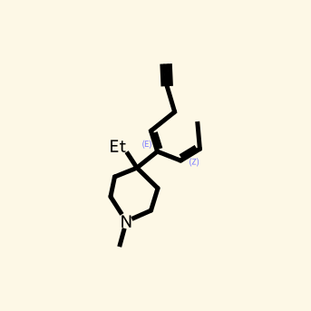 C#CC/C=C(\C=C/C)C1(CC)CCN(C)CC1